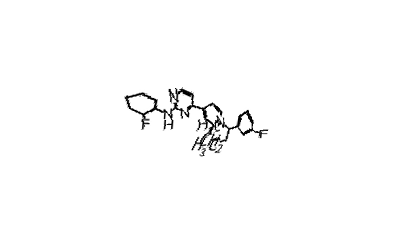 C=C/C=C(\C=C/N(C)C(CC)c1cccc(F)c1)c1ccnc(NC2CCCCC2F)n1